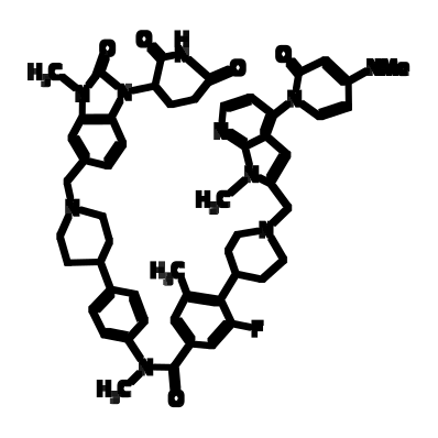 CNc1ccn(-c2ccnc3c2cc(CN2CCC(c4c(C)cc(C(=O)N(C)c5ccc(C6CCN(Cc7ccc8c(c7)n(C)c(=O)n8C7CCC(=O)NC7=O)CC6)cc5)cc4F)CC2)n3C)c(=O)c1